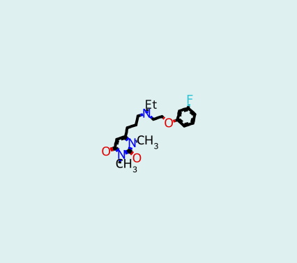 CCN(CCCc1cc(=O)n(C)c(=O)n1C)CCOc1cccc(F)c1